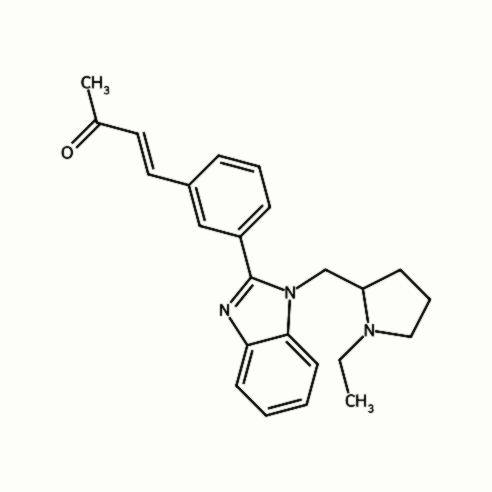 CCN1CCCC1Cn1c(-c2cccc(/C=C/C(C)=O)c2)nc2ccccc21